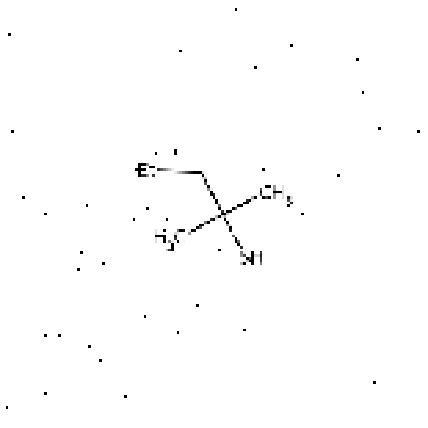 C[CH]CC(C)(C)S